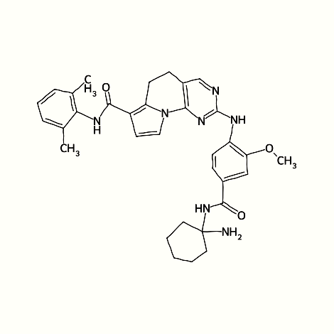 COc1cc(C(=O)NC2(N)CCCCC2)ccc1Nc1ncc2c(n1)-n1ccc(C(=O)Nc3c(C)cccc3C)c1CC2